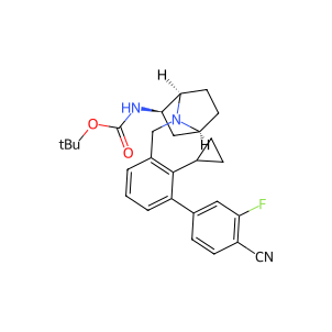 CC(C)(C)OC(=O)N[C@@H]1C[C@@H]2CC[C@H]1N2Cc1cccc(-c2ccc(C#N)c(F)c2)c1C1CC1